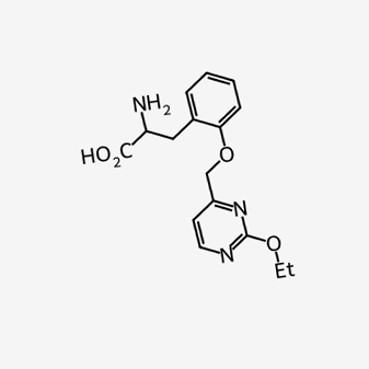 CCOc1nccc(COc2ccccc2CC(N)C(=O)O)n1